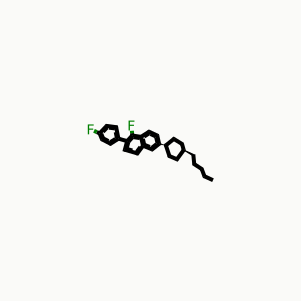 CCCCC[C@H]1CC[C@H](c2ccc3c(F)c(-c4ccc(F)cc4)ccc3c2)CC1